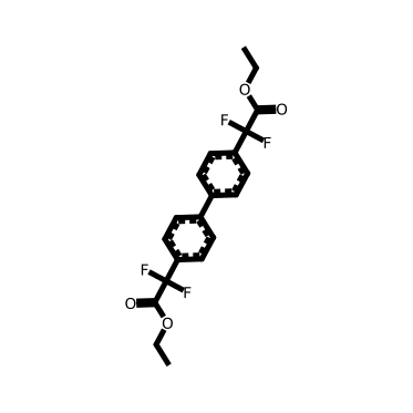 CCOC(=O)C(F)(F)c1ccc(-c2ccc(C(F)(F)C(=O)OCC)cc2)cc1